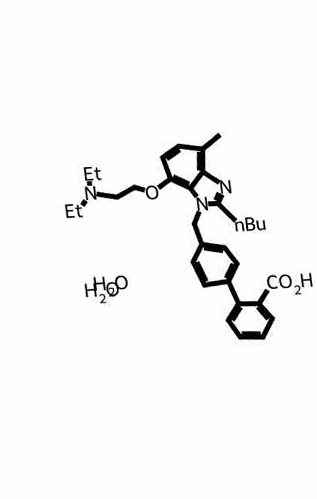 CCCCc1nc2c(C)ccc(OCCN(CC)CC)c2n1Cc1ccc(-c2ccccc2C(=O)O)cc1.O.O